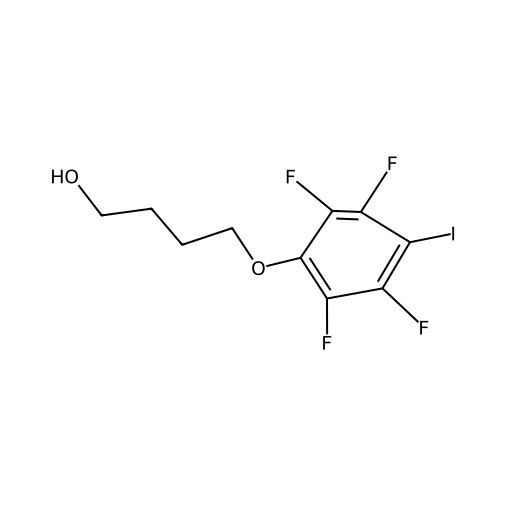 OCCCCOc1c(F)c(F)c(I)c(F)c1F